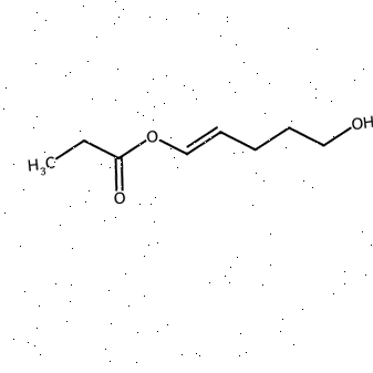 CCC(=O)OC=CCCCO